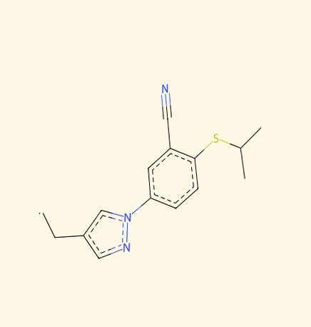 [CH2]Cc1cnn(-c2ccc(SC(C)C)c(C#N)c2)c1